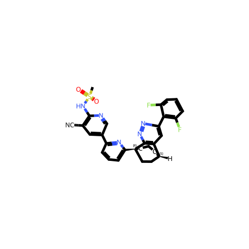 CS(=O)(=O)Nc1ncc(-c2cccc([C@@]34CCC[C@@H](CC3)c3cc(-c5c(F)cccc5F)nnc34)n2)cc1C#N